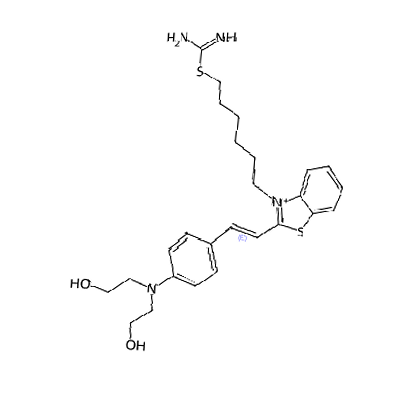 N=C(N)SCCCCCC[n+]1c(/C=C/c2ccc(N(CCO)CCO)cc2)sc2ccccc21